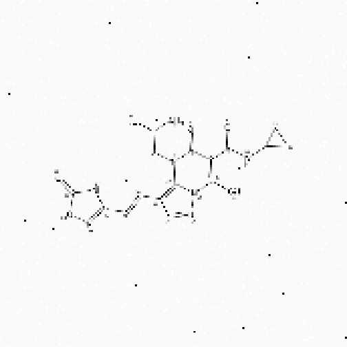 CC(C)Cn1c(=O)c(C(=O)NC2CC2)c(O)n2ncc(/C=C/c3noc(=O)[nH]3)c12